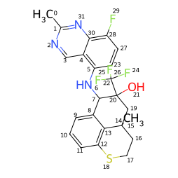 Cc1ncc2c(NC3c4cccc5c4C(C)(CCS5)CC3(O)C(F)(F)F)ccc(F)c2n1